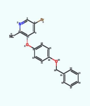 N#Cc1ncc(Br)cc1Oc1ccc(OCc2ccccc2)cc1